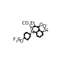 CCOC(=O)c1nn(-c2ccc(OC(F)(F)F)cc2)c2cccc([S+](C)[O-])c2c1=O